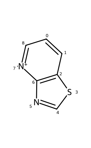 C1=Cc2scnc2[N+]=C1